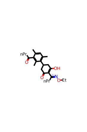 CCCC(=O)c1c(C)cc(C)c(C2CC(=O)C(/C(CCC)=N/OCC)=C(O)C2)c1C